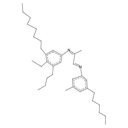 CCCCCCCCc1cc(N=C(C)C=Nc2cc(C)cc(CCCCCC)c2)cc(CCCC)c1CC